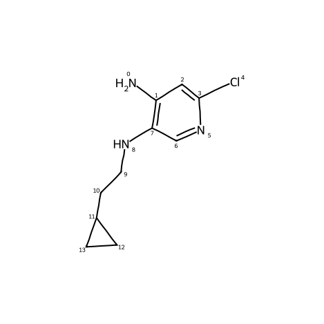 Nc1cc(Cl)ncc1NCCC1CC1